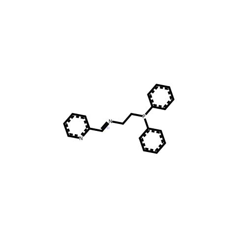 C(=N\CCP(c1ccccc1)c1ccccc1)/c1ccccn1